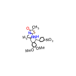 COc1cc2c(cc1OC)C(c1ccc([N+](=O)[O-])cc1)NN(C1=NC(=O)C(C)S1)[C@@H](C)C2